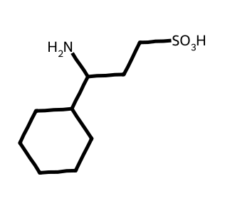 NC(CCS(=O)(=O)O)C1CCCCC1